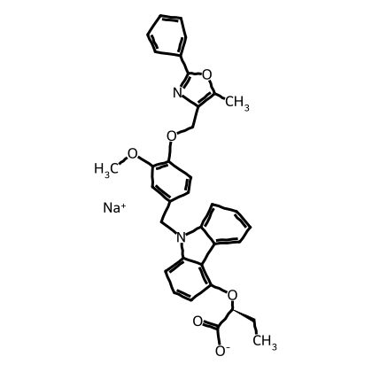 CC[C@H](Oc1cccc2c1c1ccccc1n2Cc1ccc(OCc2nc(-c3ccccc3)oc2C)c(OC)c1)C(=O)[O-].[Na+]